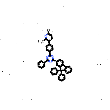 CC1=CCC(c2ccc(-c3nc(-c4ccccc4)nc(-c4ccc5c(c4)C(c4ccccc4)(c4ccccc4)c4ccccc4-5)n3)cc2)C(C)=N1